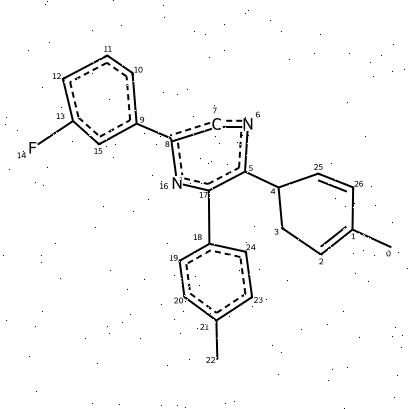 CC1=CCC(c2ncc(-c3cccc(F)c3)nc2-c2ccc(C)cc2)C=C1